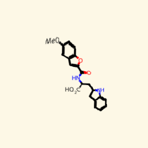 COc1ccc2oc(C(=O)N[C@@H](CC3Cc4ccccc4N3)C(=O)O)cc2c1